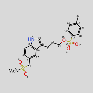 CNS(=O)(=O)Cc1ccc2[nH]cc(CCCOS(=O)(=O)c3ccc(C)cc3)c2c1